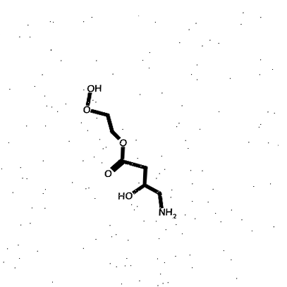 NCC(O)CC(=O)OCCOO